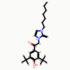 C=C1N(CCCCCCC)C=CN1CC(=O)c1cc(C(C)(C)C)c(O)c(C(C)(C)C)c1